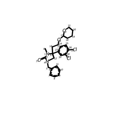 CN1C(=O)N(Cc2ccccc2)CC1(CCOC1CCCCO1)c1ccc(Cl)c(Cl)c1